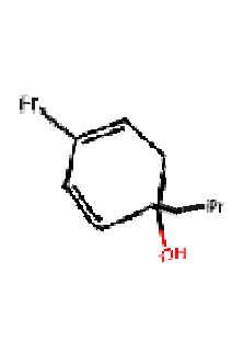 CC(C)C1=CCC(O)(C(C)C)C=C1